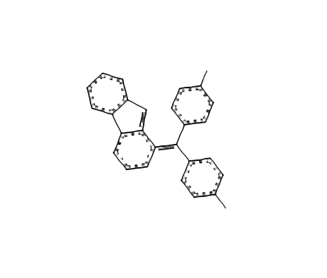 CCCCc1ccc(C(c2ccc(C(C)(C)C)cc2)=c2cccc3c2=[C]c2ccccc2-3)cc1